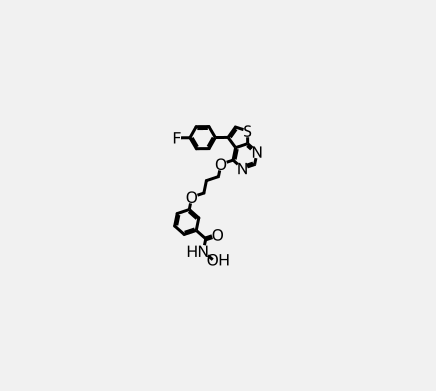 O=C(NO)c1cccc(OCCCOc2ncnc3scc(-c4ccc(F)cc4)c23)c1